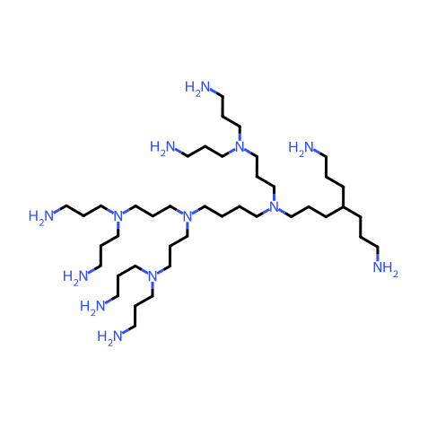 NCCCC(CCCN)CCCN(CCCCN(CCCN(CCCN)CCCN)CCCN(CCCN)CCCN)CCCN(CCCN)CCCN